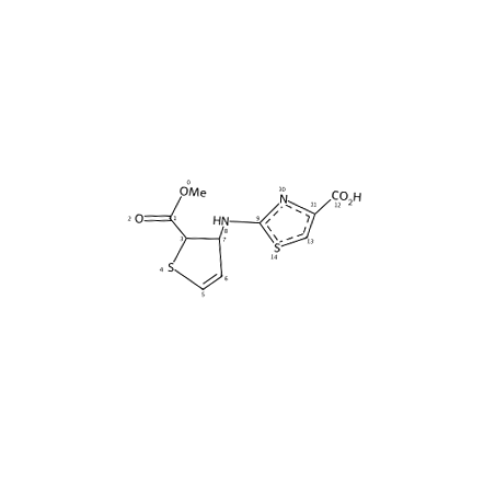 COC(=O)C1SC=CC1Nc1nc(C(=O)O)cs1